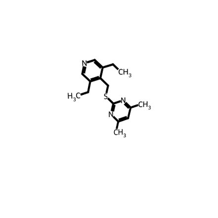 CCc1cncc(CC)c1CSc1nc(C)cc(C)n1